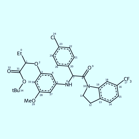 CCC(Oc1cc(NC(C(=O)N2CCc3ccc(C(F)(F)F)cc32)c2ccc(Cl)cc2)cc(OC)c1)C(=O)OC(C)(C)C